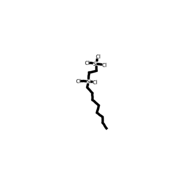 CCCCCCCC[Si](Cl)(Cl)CC[Si](Cl)(Cl)Cl